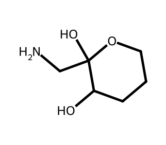 NCC1(O)OCCCC1O